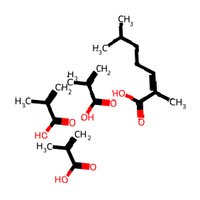 C=C(C)C(=O)O.C=C(C)C(=O)O.C=C(C)C(=O)O.CC(=CCCC(C)C)C(=O)O